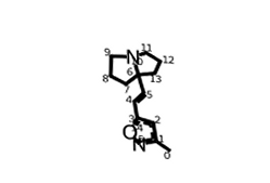 Cc1cc(C=CC23CCCN2CCC3)on1